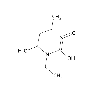 CCCC(C)N(CC)C(O)=S=O